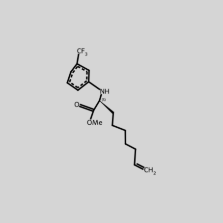 C=CCCCCC[C@H](Nc1cccc(C(F)(F)F)c1)C(=O)OC